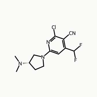 CN(C)[C@H]1CCN(c2cc(C(F)F)c(C#N)c(Cl)n2)C1